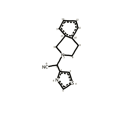 N#CC(c1cscn1)N1CCc2ccccc2C1